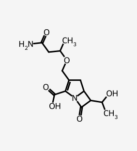 CC(CC(N)=O)OCC1=C(C(=O)O)N2C(=O)C(C(C)O)C2C1